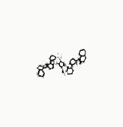 N#Cc1cc(-n2c3ccccc3c3c4oc5ccc6ccccc6c5c4ccc32)c(C#N)cc1-n1c2ccccc2c2c3oc4ccc5ccccc5c4c3ccc21